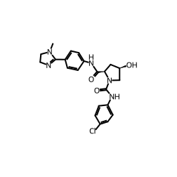 CN1CCN=C1c1ccc(NC(=O)[C@H]2C[C@@H](O)CN2C(=O)Nc2ccc(Cl)cc2)cc1